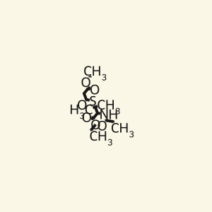 CCOC(=O)CC(=O)SC(C)(C)C(NC(=O)CC)C(=O)OCC